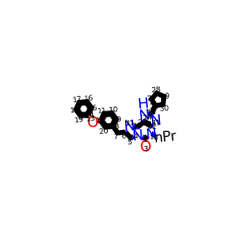 CCCN1C(=O)N2CC(Cc3cccc(Oc4ccccc4)c3)N=C2c2[nH]c(C3CCCC3)nc21